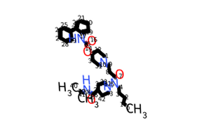 CCCCCN(C(=O)CCN1CCC(OC(=O)Nc2ccccc2-c2ccccc2)CC1)N1CCC(C(=O)NC(C)C)CC1